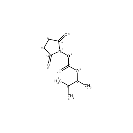 CC(C)C(C)OC(=O)ON1C(=O)CCC1=O